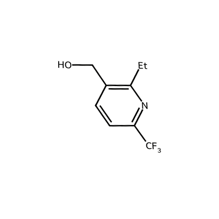 CCc1nc(C(F)(F)F)ccc1CO